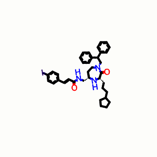 O=C(/C=C/c1ccc(I)cc1)NC[C@@H]1CCN(CC(c2ccccc2)c2ccccc2)C(=O)[C@H](CCCC2CCCC2)N1